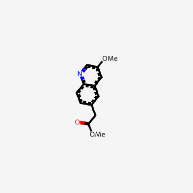 COC(=O)Cc1ccc2ncc(OC)cc2c1